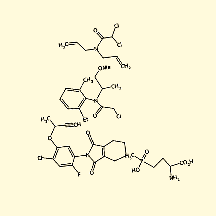 C#CC(C)Oc1cc(N2C(=O)C3=C(CCCC3)C2=O)c(F)cc1Cl.C=CCN(CC=C)C(=O)C(Cl)Cl.CCc1cccc(C)c1N(C(=O)CCl)C(C)COC.CP(=O)(O)CCC(N)C(=O)O